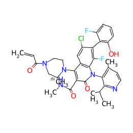 C=CC(=O)N1CCN(c2c(C(=O)NC)c(=O)n(-c3c(C)ccnc3C(C)C)c3c(F)c(-c4c(O)cccc4F)c(Cl)cc23)[C@@H](C)C1